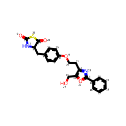 O=C1NC(Cc2ccc(OCCc3nc(-c4ccccc4)oc3CO)cc2)C(=O)S1